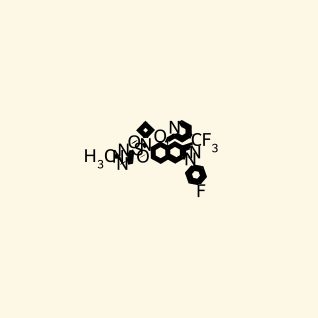 Cn1ncc(S(=O)(=O)N(C2CCC2)[C@H]2CCC3=Cc4c(cnn4-c4ccc(F)cc4)C[C@]3(C(=O)c3cc(C(F)(F)F)ccn3)C2)n1